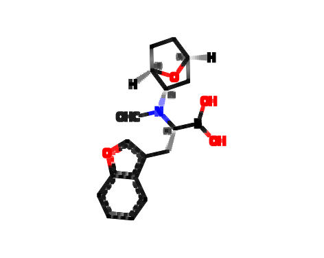 O=CN([C@@H](Cc1coc2ccccc12)B(O)O)[C@H]1C[C@@H]2CC[C@H]1O2